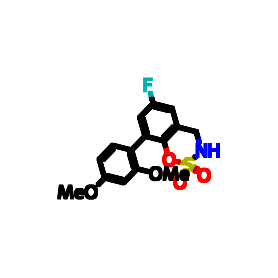 COc1ccc(-c2cc(F)cc3c2OS(=O)(=O)NC3)c(OC)c1